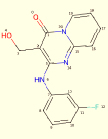 O=c1c(CO)c(Nc2cccc(F)c2)nc2ccccn12